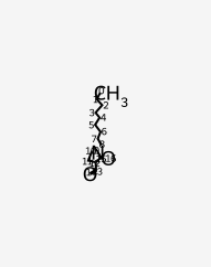 CCCCCCCCCN1CCC(C=O)C1=O